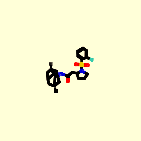 O=C(CC1CCCN1S(=O)(=O)c1ccccc1F)NC12CC3C[C@H](C1)C[C@@H](C3)C2